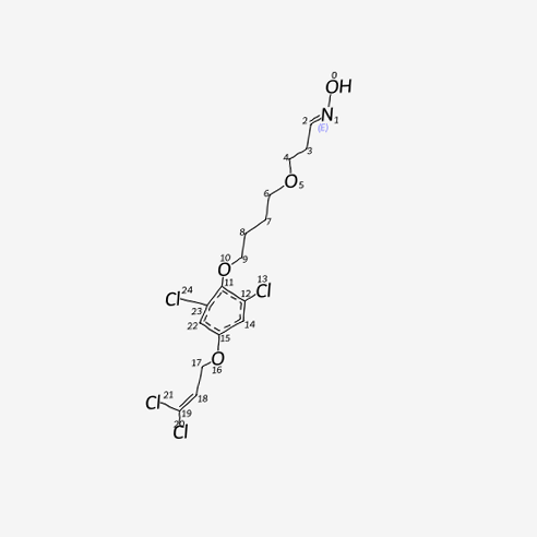 O/N=C/CCOCCCCOc1c(Cl)cc(OCC=C(Cl)Cl)cc1Cl